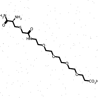 NC(=O)[C@@H](N)CSCC(=O)NCCOCCOCCOCCOCCC(=O)O